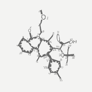 COCCn1c(=O)c2ccccc2c2c(C)c(-c3ccc(C)cc3)c([C@H](OC(C)(C)C)C(=O)O)c(C)c21